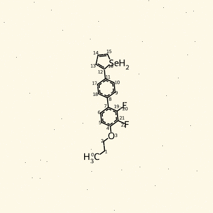 CCCOc1ccc(-c2ccc(C3=CC=C[SeH2]3)cc2)c(F)c1F